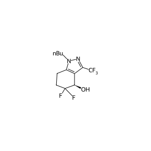 CCCCn1nc(C(F)(F)F)c2c1CCC(F)(F)[C@@H]2O